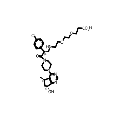 C[C@@H]1C[C@@H](O)c2ncnc(N3CCN(C(=O)[C@H](CNCCOCCOCCC(=O)O)c4ccc(Cl)cc4)CC3)c21